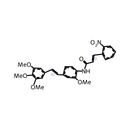 COc1cc(/C=C/c2cc(OC)c(OC)c(OC)c2)ccc1NC(=O)/C=C/c1ccccc1[N+](=O)[O-]